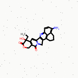 CCC1(O)C(=O)OCc2c1cc1n(c2=O)Cc2c-1nc1ccc(N)c3c1c2CCC3